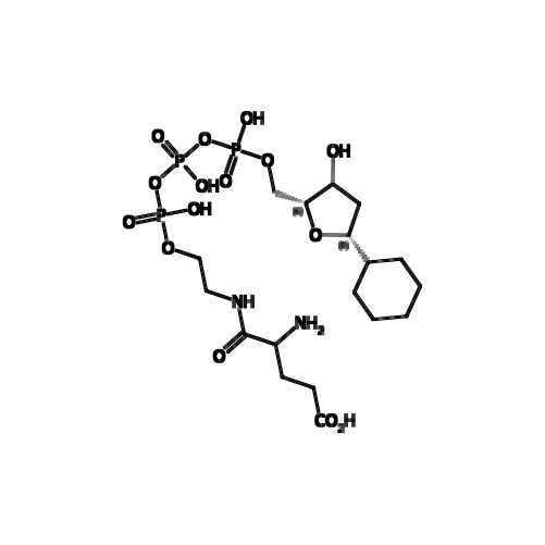 NC(CCC(=O)O)C(=O)NCCOP(=O)(O)OP(=O)(O)OP(=O)(O)OC[C@H]1O[C@@H](C2CCCCC2)CC1O